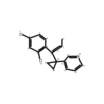 C/C=C(\c1ccc(Cl)cc1Cl)C1(c2cccnc2)CC1